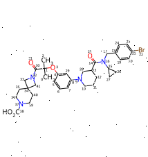 CC(C)(Oc1cccc(N2CCCC(C(=O)N(Cc3ccc(Br)cc3)C3CC3)C2)c1)C(=O)N1CC2(CCN(C(=O)O)CC2)C1